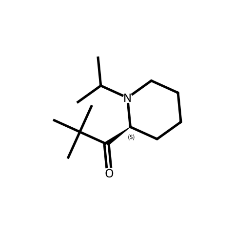 CC(C)N1CCCC[C@H]1C(=O)C(C)(C)C